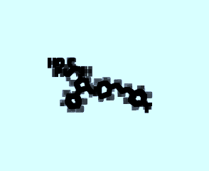 CC(C)C[C@H](NC1CC(CN2CCC(CCCc3ccc(F)cc3)CC2)C(c2ccccc2)C1)C(=O)O